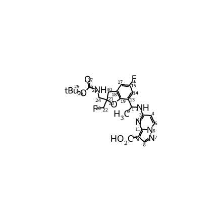 CC(Nc1ccn2ncc(C(=O)O)c2n1)c1cc(F)cc2c1OC(CF)(CNC(=O)OC(C)(C)C)C2